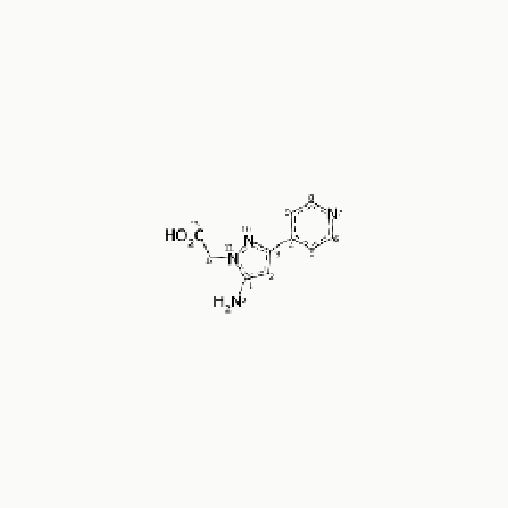 Nc1cc(-c2ccncc2)nn1CC(=O)O